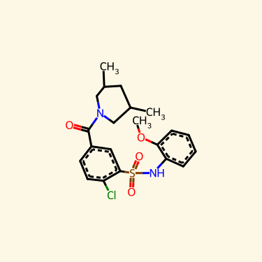 COc1ccccc1NS(=O)(=O)c1cc(C(=O)N2CC(C)CC(C)C2)ccc1Cl